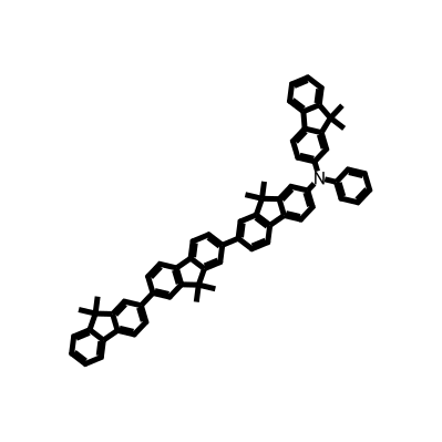 CC1(C)c2ccccc2-c2ccc(-c3ccc4c(c3)C(C)(C)c3cc(-c5ccc6c(c5)C(C)(C)c5cc(N(c7ccccc7)c7ccc8c(c7)C(C)(C)c7ccccc7-8)ccc5-6)ccc3-4)cc21